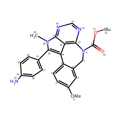 COc1ccc2c(c1)CN(C(=O)OC(C)(C)C)c1ncnc3c1c-2c(-c1ccc(N)cc1)n3C